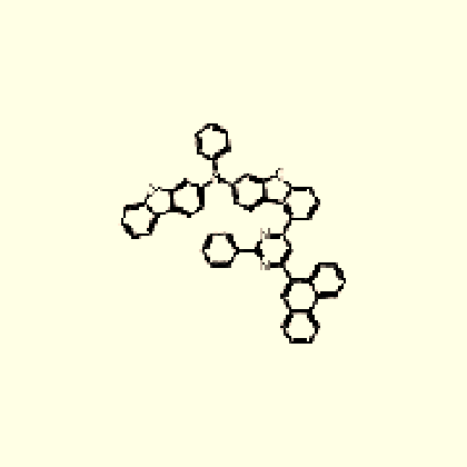 c1ccc(-c2nc(-c3cc4ccccc4c4ccccc34)cc(-c3cccc4oc5cc(N(c6ccccc6)c6ccc7c(c6)sc6ccccc67)ccc5c34)n2)cc1